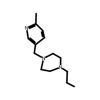 CCCN1CCN(Cc2ccc(C)nc2)CC1